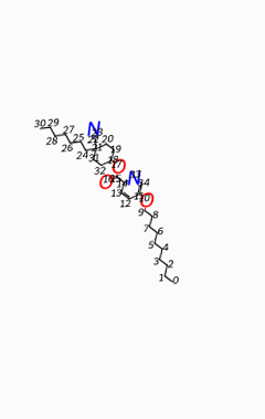 CCCCCCCCCCOc1ccc(C(=O)OC2CCC(C#N)(CCCCCCC)CC2)nc1